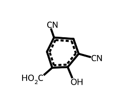 N#Cc1cc(C#N)c(O)c(C(=O)O)c1